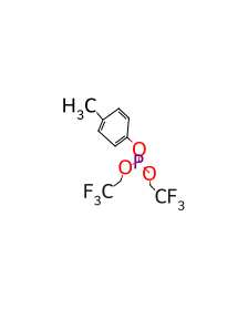 Cc1ccc(OP(OCC(F)(F)F)OCC(F)(F)F)cc1